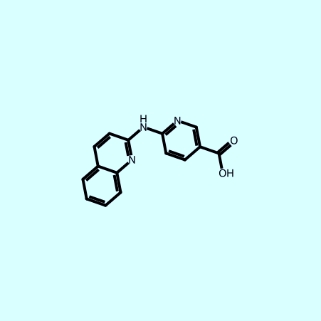 O=C(O)c1ccc(Nc2ccc3ccccc3n2)nc1